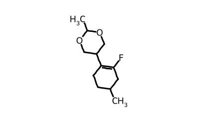 CC1CCC(C2COC(C)OC2)=C(F)C1